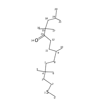 CSCCC(C)(C)CCC(C)CCC(=O)C(C)(C)CC(C)C